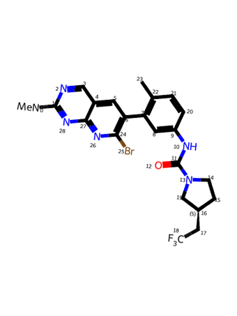 CNc1ncc2cc(-c3cc(NC(=O)N4CC[C@@H](CC(F)(F)F)C4)ccc3C)c(Br)nc2n1